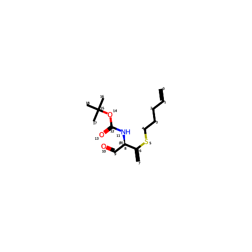 C=CCCCSC(=C)[C@@H](C=O)NC(=O)OC(C)(C)C